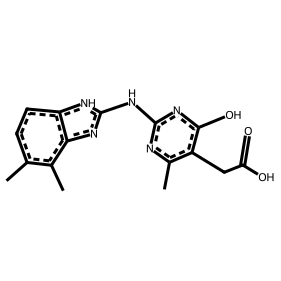 Cc1ccc2[nH]c(Nc3nc(C)c(CC(=O)O)c(O)n3)nc2c1C